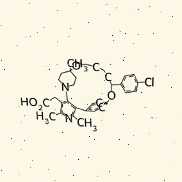 Cc1nc(C)c2c(c1CC(=O)O)N1CCC(C)(CC1)OCCCCC(c1ccc(Cl)cc1)Oc1ccc-2cc1